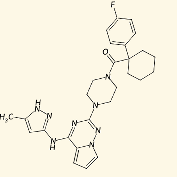 Cc1cc(Nc2nc(N3CCN(C(=O)C4(c5ccc(F)cc5)CCCCC4)CC3)nn3cccc23)n[nH]1